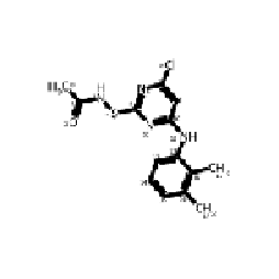 CC(=O)NSc1nc(Cl)cc(Nc2cccc(C)c2C)n1